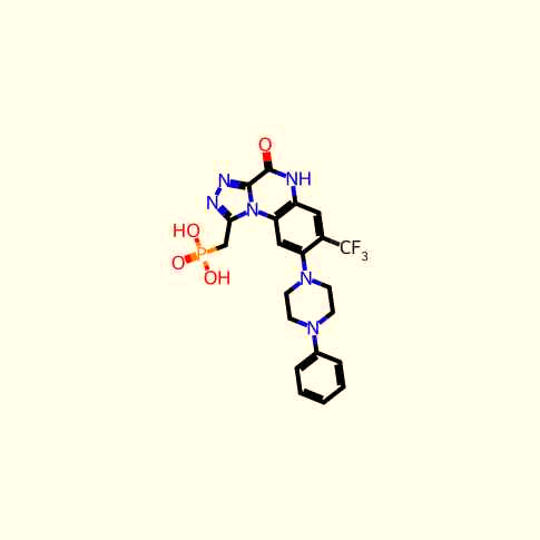 O=c1[nH]c2cc(C(F)(F)F)c(N3CCN(c4ccccc4)CC3)cc2n2c(CP(=O)(O)O)nnc12